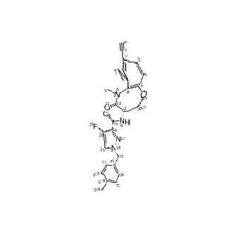 C#Cc1ccc2c(n1)N(C)C(=O)[C@@H](NC(=O)c1nn(Cc3ccc(C)cc3)cc1F)CO2